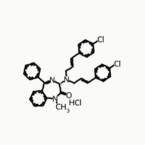 CN1C(=O)[C@H](N(CC=Cc2ccc(Cl)cc2)CC=Cc2ccc(Cl)cc2)N=C(c2ccccc2)c2ccccc21.Cl